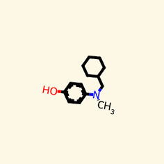 CN(CC1CCCCC1)c1ccc(O)cc1